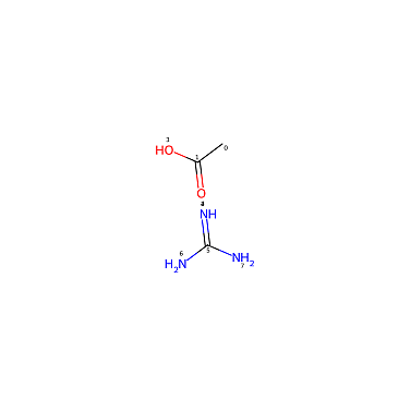 CC(=O)O.N=C(N)N